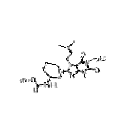 CC(=O)Cn1c(=O)c2c(nc(N3CCCC(NC(=O)OC(C)(C)C)C3)n2CC=C(C)C)n(C)c1=O